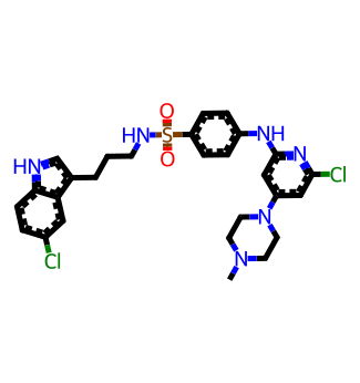 CN1CCN(c2cc(Cl)nc(Nc3ccc(S(=O)(=O)NCCCc4c[nH]c5ccc(Cl)cc45)cc3)c2)CC1